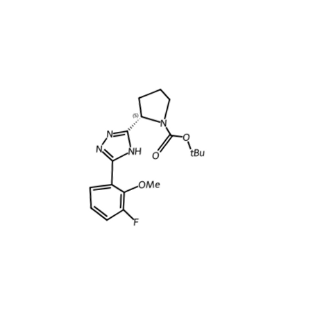 COc1c(F)cccc1-c1nnc([C@@H]2CCCN2C(=O)OC(C)(C)C)[nH]1